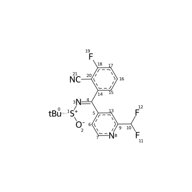 CC(C)(C)[S@@+]([O-])/N=C(\c1ccnc(C(F)F)c1)c1cccc(F)c1C#N